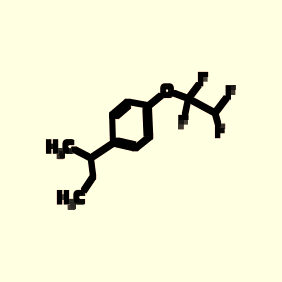 CCC(C)c1ccc(OC(F)(F)C(F)F)cc1